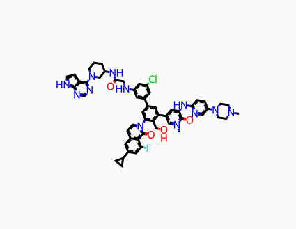 CN1CCN(c2ccc(Nc3cc(-c4cc(-c5cc(Cl)cc(NCC(=O)NC6CCCN(c7ncnc8[nH]ccc78)C6)c5)cc(-n5ccc6cc(C7CC7)cc(F)c6c5=O)c4CO)cn(C)c3=O)nc2)CC1